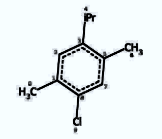 Cc1cc(C(C)C)c(C)cc1Cl